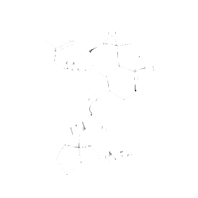 COCC1(NC(=O)OC2CC[C@]3(CO3)C(C3(C)O[C@@H]3CC=C(C)C)C2OC)CCCC1